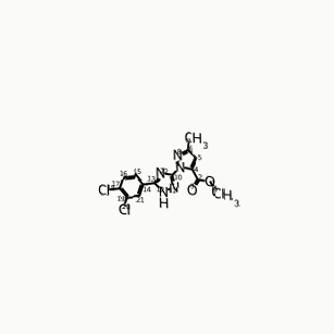 COC(=O)c1cc(C)nn1-c1n[nH]c(-c2ccc(Cl)c(Cl)c2)n1